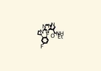 CCNC(=O)c1cnn2cnc(N3CC[C@@H]3c3cc(F)ccc3F)nc12